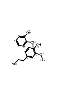 CCOc1cc(CCC(C)=O)ccc1O.Oc1ccccc1O